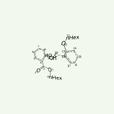 CCCCCCOC(=O)c1ccccc1O.CCCCCCOc1ccccc1C(=O)O